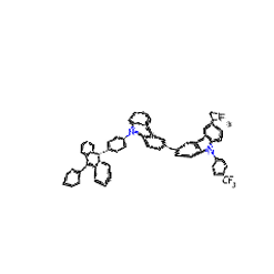 FC(F)(F)c1ccc(-n2c3ccc(-c4ccc5c(c4)c4ccccc4n5-c4ccc(-c5c6ccccc6c(-c6ccccc6)c6ccccc56)cc4)cc3c3cc(C(F)(F)F)ccc32)cc1